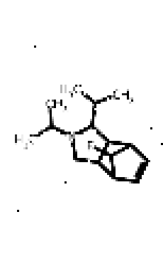 CC(C)C1C2C3C=CC(C3F)C2CN1C(C)C